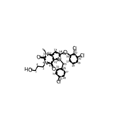 Cn1c(=O)n(CCCO)c(=O)c2c1cc(Oc1cccc(Cl)c1Cl)n2Cc1ccc(Cl)cc1